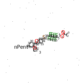 C=C(C)C(=O)OCCC(F)(F)C(F)(F)C(F)(F)C(F)(F)CCSc1ccc2cc(-c3ccc(CCCCC)cc3OC(F)(F)F)oc2c1